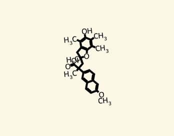 COc1ccc2cc(C(C)(CC3(C)Cc4c(C)c(O)c(C)c(C)c4O3)C(=O)O)ccc2c1